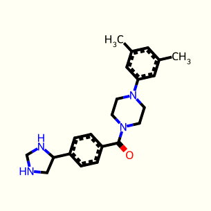 Cc1cc(C)cc(N2CCN(C(=O)c3ccc(C4CNCN4)cc3)CC2)c1